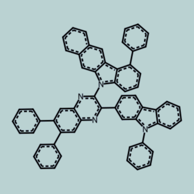 c1ccc(-c2cc3nc(-c4ccc5c6ccccc6n(-c6ccccc6)c5c4)c(-n4c5cc6ccccc6cc5c5c(-c6ccccc6)cccc54)nc3cc2-c2ccccc2)cc1